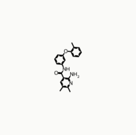 Cc1ccccc1Oc1cccc(NC(=O)c2cc(C)c(C)nc2N)c1